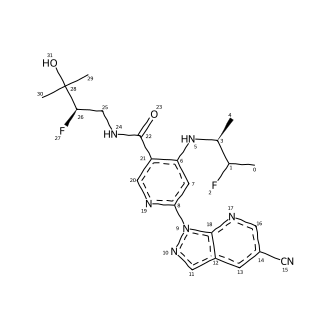 CC(F)[C@H](C)Nc1cc(-n2ncc3cc(C#N)cnc32)ncc1C(=O)NC[C@@H](F)C(C)(C)O